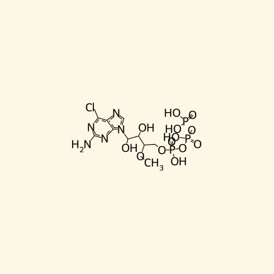 COC(COP(=O)(O)OP(=O)(O)OP(=O)(O)O)C(O)C(O)n1cnc2c(Cl)nc(N)nc21